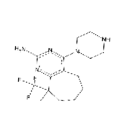 CC1(C(F)(F)F)CCCCc2c(N3CCNCC3)nc(N)nc21